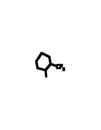 CC1CCCCC1C(F)(F)F